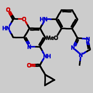 COc1c(Nc2cc(NC(=O)C3CC3)nc3c2OC(=O)NC3)cccc1-c1ncn(C)n1